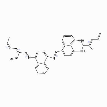 C=C/C=C(\C)C1Nc2cccc3c(/N=N/c4ccc(/N=N/C(C=C)=C/C=C\C)c5ccccc45)ccc(c23)N1